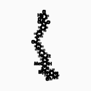 CCc1cc(Nc2ncc(Br)c(Nc3ccc4nccnc4c3P(C)(C)=O)n2)c(OC)cc1N1CCC(N2CCN(C(=O)CCN3CCN(c4ccc5c(c4)C(=O)N(C4CCC(=O)NC4=O)C5=O)CC3)CC2)CC1